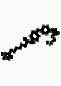 CNC(=O)OCCCCOC(=O)NC1CCC(CC2CCC(NC(=O)OSC)CC2)CC1